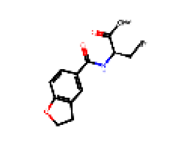 COC(=O)[C@@H](CC(C)C)NC(=O)c1ccc2c(c1)CCO2